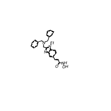 CCn1c(CN(Cc2ccccc2)Cc2ccccc2)nc2cc(/C=C/C(=O)NO)ccc21